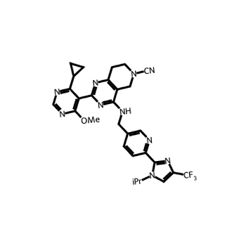 COc1ncnc(C2CC2)c1-c1nc2c(c(NCc3ccc(-c4nc(C(F)(F)F)cn4C(C)C)nc3)n1)CN(C#N)CC2